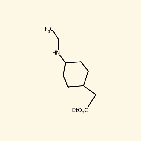 CCOC(=O)CC1CCC(NCC(F)(F)F)CC1